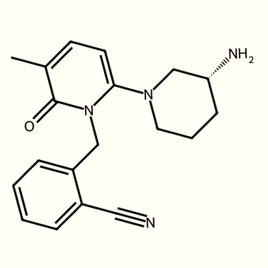 Cc1ccc(N2CCC[C@@H](N)C2)n(Cc2ccccc2C#N)c1=O